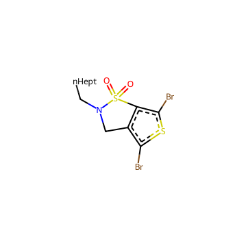 CCCCCCCCN1Cc2c(Br)sc(Br)c2S1(=O)=O